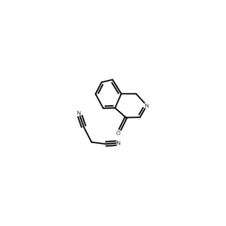 N#CCC#N.O=C1C=NCc2ccccc21